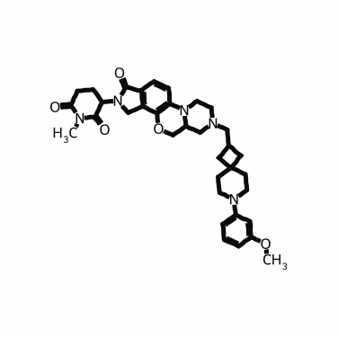 COc1cccc(N2CCC3(CC2)CC(CN2CCN4c5ccc6c(c5OCC4C2)CN(C2CCC(=O)N(C)C2=O)C6=O)C3)c1